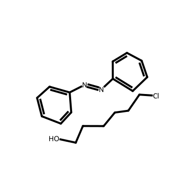 OCCCCCCCl.c1ccc(N=Nc2ccccc2)cc1